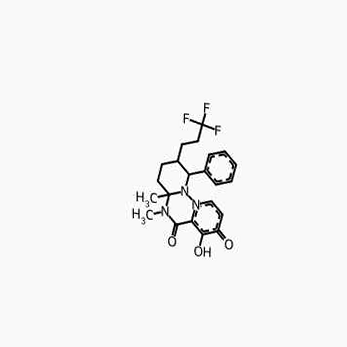 CN1C(=O)c2c(O)c(=O)ccn2N2C(c3ccccc3)C(CCC(F)(F)F)CCC12C